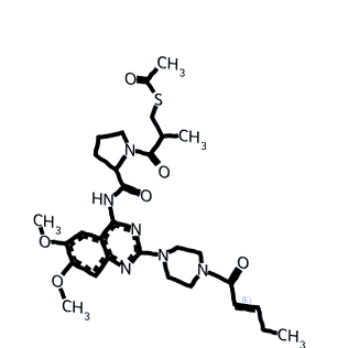 CC/C=C/C(=O)N1CCN(c2nc(NC(=O)C3CCCN3C(=O)C(C)CSC(C)=O)c3cc(OC)c(OC)cc3n2)CC1